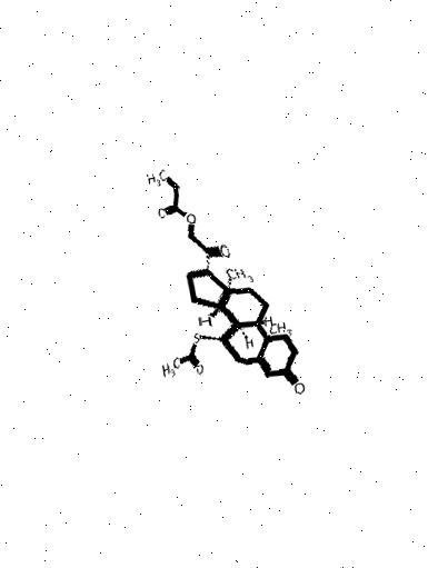 CCC(=O)OCC(=O)[C@H]1CC[C@H]2[C@@H]3[C@H](SC(C)=O)CC4=CC(=O)CC[C@]4(C)[C@H]3CC[C@]12C